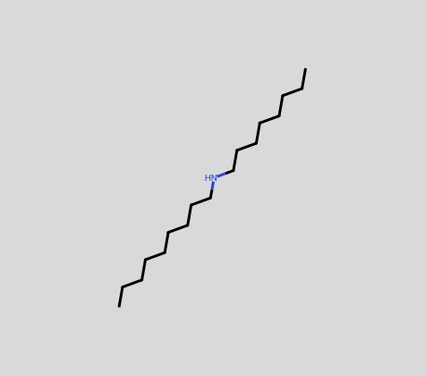 CCCCCCCCCNCCCCCCCC